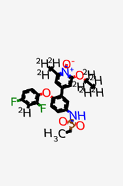 [2H]c1c(F)ccc(Oc2ccc(NS(=O)(=O)CC)cc2-c2cc(OC([2H])([2H])C([2H])([2H])[2H])[n+]([O-])c(C([2H])([2H])[2H])c2)c1F